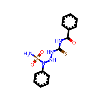 NS(=O)(=O)N(NNC(=S)NC(=O)c1ccccc1)c1ccccc1